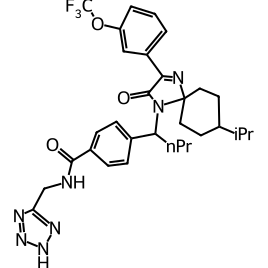 CCCC(c1ccc(C(=O)NCc2nn[nH]n2)cc1)N1C(=O)C(c2cccc(OC(F)(F)F)c2)=NC12CCC(C(C)C)CC2